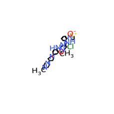 COc1cc(N2CCC(N3CCN(C)CC3)CC2)ccc1Nc1ncc(Cl)c(Nc2ccccc2N2CCC[S+]2[O-])n1